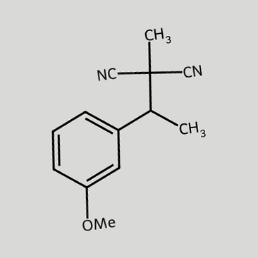 COc1cccc(C(C)C(C)(C#N)C#N)c1